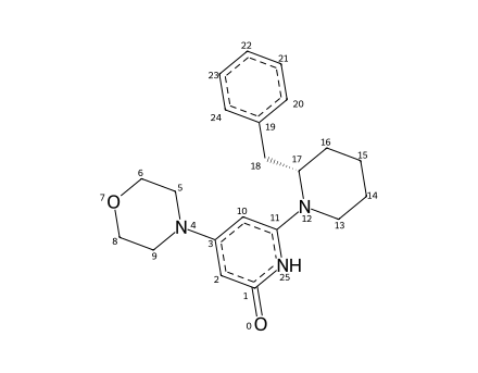 O=c1cc(N2CCOCC2)cc(N2CCCC[C@H]2Cc2ccccc2)[nH]1